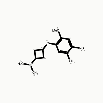 COc1cc([N+](=O)[O-])c(C)cc1OC1CC(N(C)C)C1